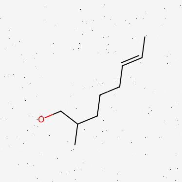 CC=CCCCC(C)C[O]